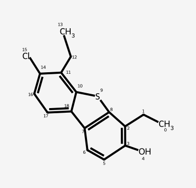 CCc1c(O)ccc2c1sc1c(CC)c(Cl)ccc12